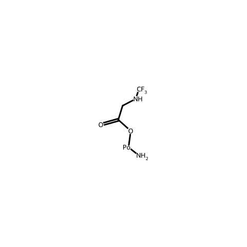 [NH2][Po][O]C(=O)CNC(F)(F)F